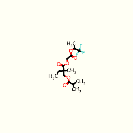 CCC(C)(COC(=O)C(C)C)C(=O)OCC(=O)OC(C)C(F)(F)F